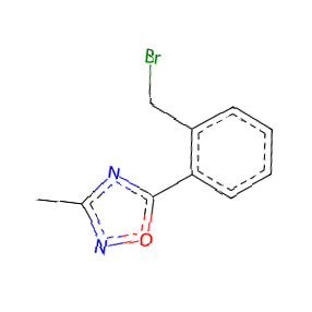 Cc1noc(-c2ccccc2CBr)n1